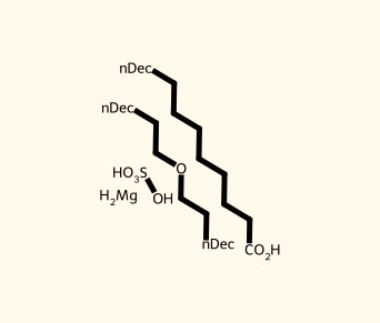 CCCCCCCCCCCCCCCCCC(=O)O.CCCCCCCCCCCCOCCCCCCCCCCCC.O=S(=O)(O)O.[MgH2]